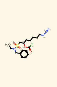 CCN(Cc1ccccc1)S(=O)(=O)CC(CCCCCN=[N+]=[N-])OC(=O)Cl